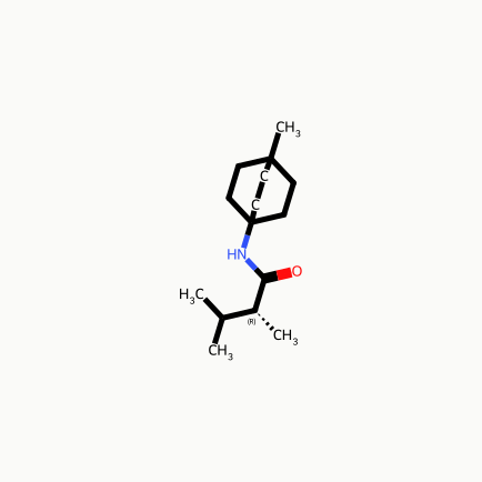 CC(C)[C@@H](C)C(=O)NC12CCC(C)(CC1)CC2